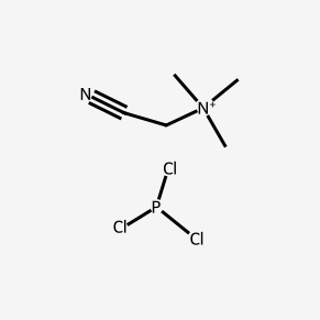 C[N+](C)(C)CC#N.ClP(Cl)Cl